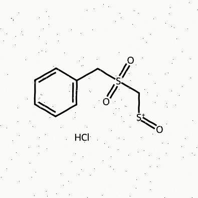 Cl.O=[S+]CS(=O)(=O)Cc1ccccc1